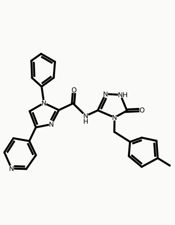 Cc1ccc(Cn2c(NC(=O)c3nc(-c4ccncc4)cn3-c3ccccc3)n[nH]c2=O)cc1